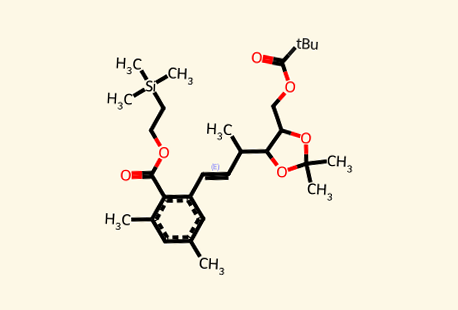 Cc1cc(C)c(C(=O)OCC[Si](C)(C)C)c(/C=C/C(C)C2OC(C)(C)OC2COC(=O)C(C)(C)C)c1